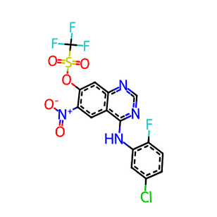 O=[N+]([O-])c1cc2c(Nc3cc(Cl)ccc3F)ncnc2cc1OS(=O)(=O)C(F)(F)F